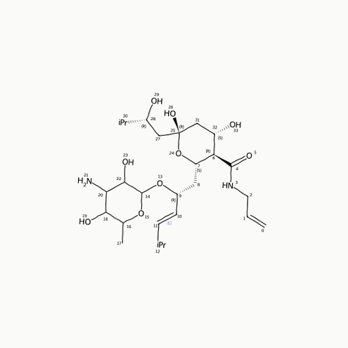 C=CCNC(=O)[C@H]1[C@H](C[C@H](/C=C/C(C)C)OC2OC(C)C(O)C(N)C2O)O[C@](O)(C[C@@H](O)C(C)C)C[C@@H]1O